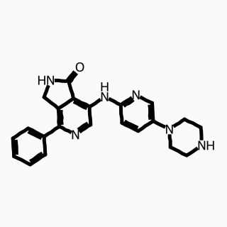 O=C1NCc2c(-c3ccccc3)ncc(Nc3ccc(N4CCNCC4)cn3)c21